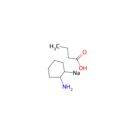 CCCC(=O)O.NC1CCCC[CH]1[Na]